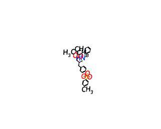 Cc1ccc(S(=O)(=O)Oc2ccc(CC(CNCc3ccccc3)CC(=O)OC(C)(C)C)cc2)cc1